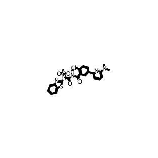 CN(C)c1cccc(-c2ccc(Cl)c(C(=O)NC(=O)N(c3nc4ccccc4s3)S(C)(=O)=O)c2)n1